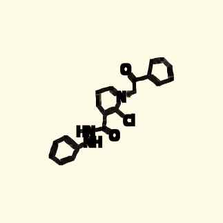 O=C(C[n+]1cccc(C(=O)NNc2ccccc2)c1Cl)c1ccccc1